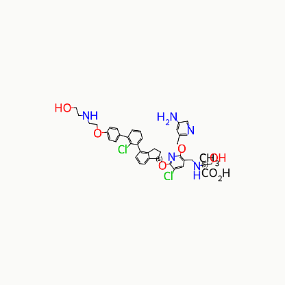 C[C@@](CO)(NCc1cc(Cl)c(O[C@H]2CCc3c(-c4cccc(-c5ccc(OCCNCCO)cc5)c4Cl)cccc32)nc1OCc1cncc(N)c1)C(=O)O